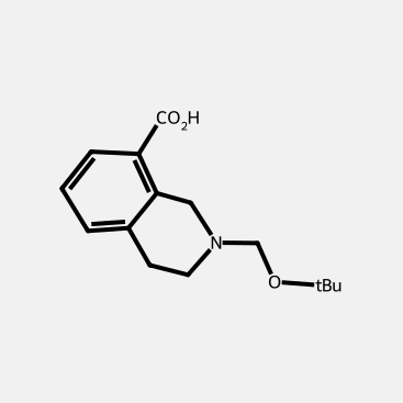 CC(C)(C)OCN1CCc2cccc(C(=O)O)c2C1